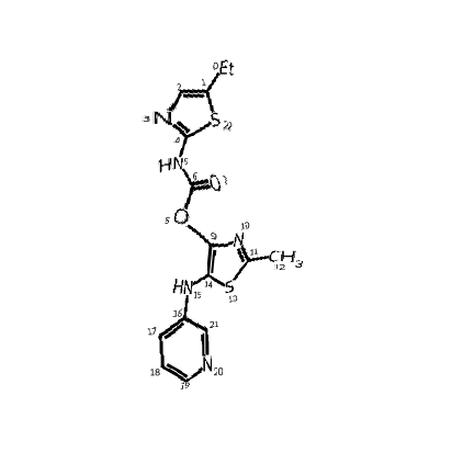 CCc1cnc(NC(=O)Oc2nc(C)sc2Nc2cccnc2)s1